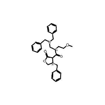 COCC[C@H](CN(Cc1ccccc1)Cc1ccccc1)C(=O)C1C(=O)OC[C@@H]1Cc1ccccc1